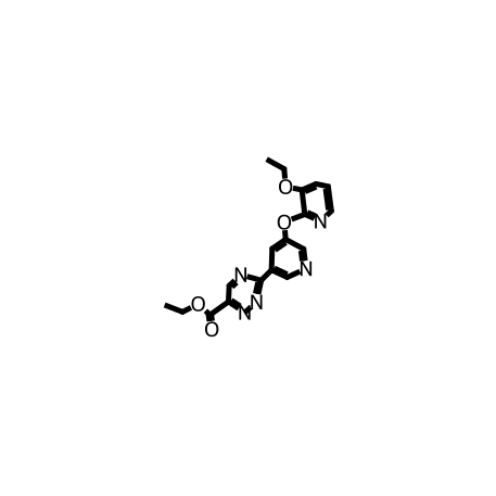 CCOC(=O)c1cnc(-c2cncc(Oc3ncccc3OCC)c2)nn1